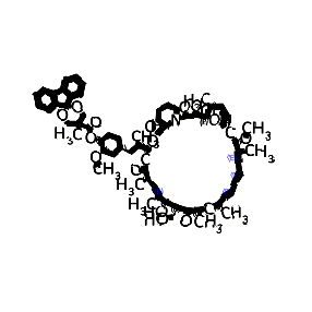 CO[C@H]1C[C@@H]2CC[C@@H](C)[C@@](O)(O2)C(=O)C(=O)N2CCCC[C@H]2C(=O)O[C@H]([C@H](C)C[C@@H]2CC[C@@H](OC(=O)C3(C)COC4(OC3)c3ccccc3-c3ccccc34)[C@H](OC)C2)CC(=O)[C@H](C)/C=C(\C)[C@@H](O)[C@@H](CO)C(=O)[C@H](C)C[C@H](C)/C=C/C=C/C=C/1C